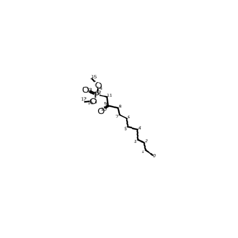 CCCCCCCCCC(=O)CP(=O)(OC)OC